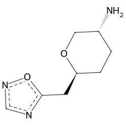 N[C@@H]1CC[C@@H](Cc2ncno2)OC1